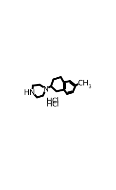 Cc1ccc2c(c1)CCC(N1CCNCC1)C2.Cl.Cl